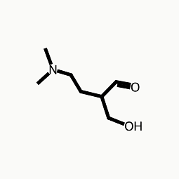 CN(C)CCC(C=O)CO